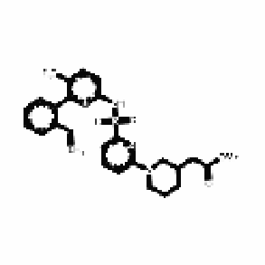 C=Cc1ccccc1-c1nc(NS(=O)(=O)c2cccc(N3CCCC(CC(=O)OC)C3)n2)ccc1C(F)(F)F